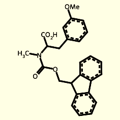 COc1cccc(CC(C(=O)O)N(C)C(=O)OCC2c3ccccc3-c3ccccc32)c1